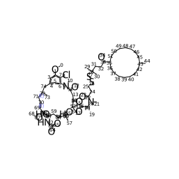 COc1cc2cc(c1Cl)N(C)C(=O)C[C@@H](OC(=O)[C@@H](C)N(C)C(=O)CCSSC(C)(C)CCC(=O)C1CCCCCCCC(C)CCCCCCC1)C(C)(C)O[C@@H](C)[C@H]1C[C@](O)(NC(=O)O1)[C@@H](OC)/C=C/C=C(\C)C2